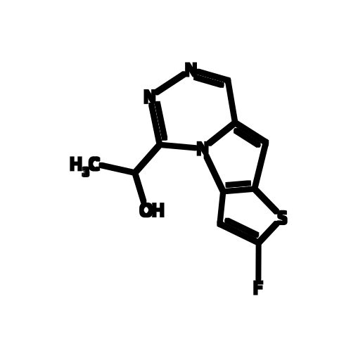 CC(O)c1nncc2cc3sc(F)cc3n12